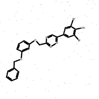 Oc1c(Br)cc(-c2cnc(COc3cccc(OCc4ccccc4)c3)nn2)cc1Br